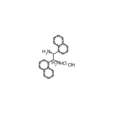 Cl.Cl.N[C@@H](c1cccc2ccccc12)[C@@H](N)c1cccc2ccccc12